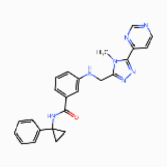 Cn1c(CNc2cccc(C(=O)NC3(c4ccccc4)CC3)c2)nnc1-c1ccncn1